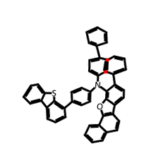 c1ccc(-c2ccc(N(c3ccc(-c4cccc5c4sc4ccccc45)cc3)c3c(-c4ccccc4)ccc4c3oc3c5ccccc5ccc43)cc2)cc1